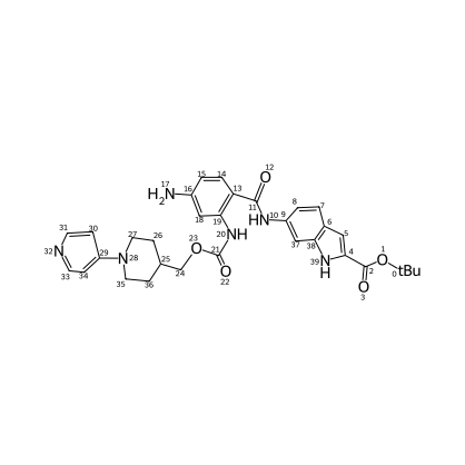 CC(C)(C)OC(=O)c1cc2ccc(NC(=O)c3ccc(N)cc3NC(=O)OCC3CCN(c4ccncc4)CC3)cc2[nH]1